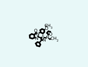 C=CN(c1ccco1)c1nc(-c2ccccc2)c(-c2nc3ccccc3c(=O)n2-c2ccc(OC)cc2)s1